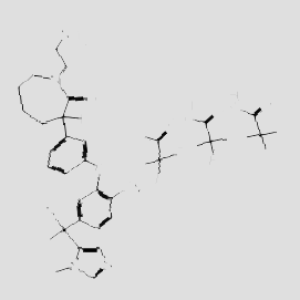 CCC1(c2cccc(Oc3cc(C(C)(N)c4cncn4C)ccc3C#N)c2)CCCCN(CCN)C1=O.O=C(O)C(F)(F)F.O=C(O)C(F)(F)F.O=C(O)C(F)(F)F